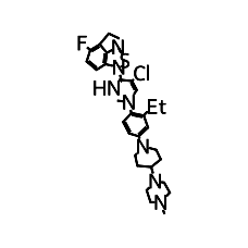 CCc1cc(N2CCC(N3CCN(C)CC3)CC2)ccc1N(C)/C=C(/Cl)C(=N)N1SN2CCc3c(F)ccc1c32